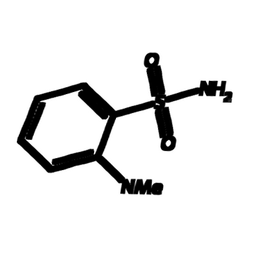 CNc1ccccc1S(N)(=O)=O